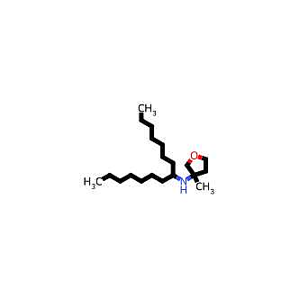 CCCCCCCC(CCCCCCC)NC1(C)CCOC1